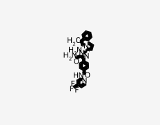 C=C(CN1CCC[C@H]1c1nc(-c2ccc(C(=O)Nc3cc(C(F)(F)F)ccn3)cc2)c(C(N)=O)n1N)c1ccccc1